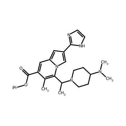 Cc1c(C(=O)OC(C)C)cc2cc(-c3ncc[nH]3)cn2c1C(C)N1CCC(N(C)C)CC1